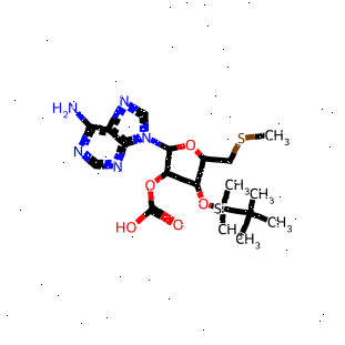 CSCC1OC(n2cnc3c(N)ncnc32)C(OC(=O)O)C1O[Si](C)(C)C(C)(C)C